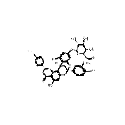 O=C1C[C@H](c2ccc(O)cc2)Oc2c1c(O)cc1c2[C@@H]2C[C@@](c3ccc(O)c(O)c3)(Oc3cc(O[C@@H]4O[C@H](CO)[C@@H](O)[C@H](O)[C@H]4O)cc(O)c32)O1